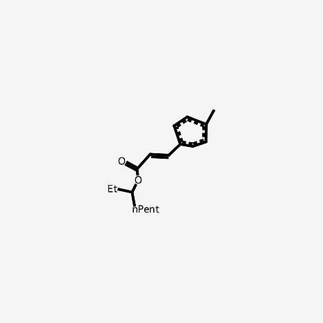 CCCCCC(CC)OC(=O)C=Cc1ccc(C)cc1